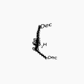 CCCCCCCCCCCCCCCCCCCCCC(=O)OCCN(CCOC(=O)CCCCCCCCCCCCCCCCCCCCC)CC(=O)O